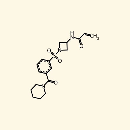 C=CC(=O)NC1CN(S(=O)(=O)c2cccc(C(=O)N3CCCCC3)c2)C1